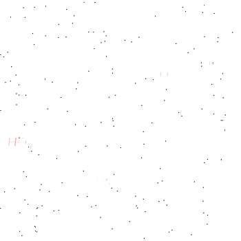 Oc1ccc2c(c1)-c1c(O)cccc1OC2